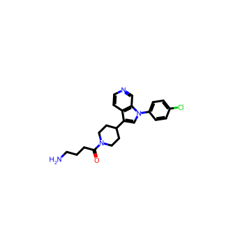 NCCCC(=O)N1CCC(c2cn(-c3ccc(Cl)cc3)c3cnccc23)CC1